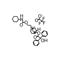 O=C(NC1CCCCC1)OCC[N+]12CCC(CC1)[C@@H](OC(=O)C(O)(c1ccccc1)c1ccccc1)C2.O=C([O-])C(F)(F)F